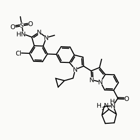 Cc1c(-c2cc3ccc(-c4ccc(Cl)c5c(NS(C)(=O)=O)nn(C)c45)cc3n2CC2CC2)nn2cc(C(=O)N3CC4CCC3[C@@H]4N)ccc12